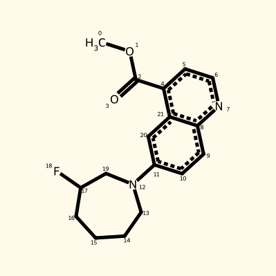 COC(=O)c1ccnc2ccc(N3CCCCC(F)C3)cc12